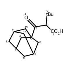 CC(C)(C)C(C(=O)O)C(=O)C12CC3CC(CC(C3)C1)C2